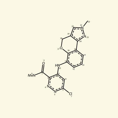 CNC(=O)c1nnc(Cl)cc1Nc1cccc2c1OCc1cn(C)nc1-2